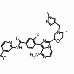 C[C@@H]1CO[C@@H](c2nc(-c3ccc(C(=O)Nc4cc(C(F)(F)F)ccn4)cc3F)c3c(N)nccn23)CN1Cc1cnn(C)c1